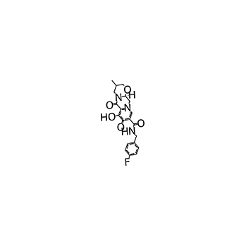 CC1CO[C@H]2Cn3cc(C(=O)NCc4ccc(F)cc4)c(=O)c(O)c3C(=O)N2C1